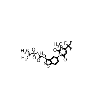 CN(C)S(=O)(=O)NC(=O)Oc1nsc2ccc(-n3c(=O)cc(C(F)(F)F)n(C)c3=O)cc12